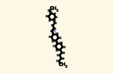 C=CC1CCC(CC/C=C/C2CCC(C3CCC(CCCCC)CC3)CC2)CC1